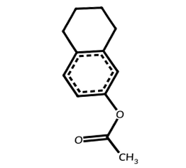 CC(=O)Oc1ccc2c(c1)CCCC2